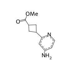 COC(=O)C1CC(c2cc(N)ccn2)C1